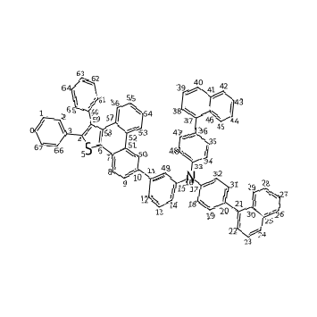 c1ccc(-c2sc3c4ccc(-c5cccc(N(c6ccc(-c7cccc8ccccc78)cc6)c6ccc(-c7cccc8ccccc78)cc6)c5)cc4c4ccccc4c3c2-c2ccccc2)cc1